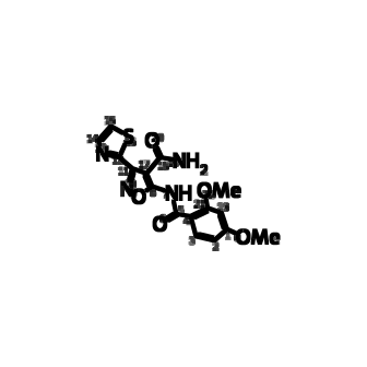 COc1ccc(C(=O)Nc2onc(-c3nccs3)c2C(N)=O)c(OC)c1